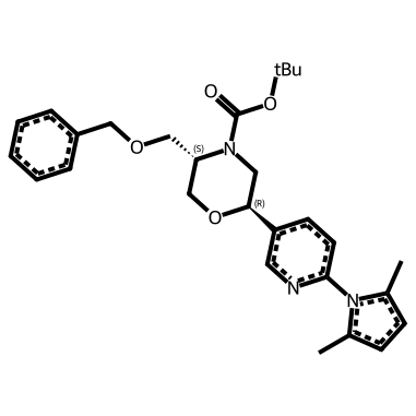 Cc1ccc(C)n1-c1ccc([C@@H]2CN(C(=O)OC(C)(C)C)[C@@H](COCc3ccccc3)CO2)cn1